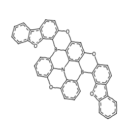 c1cc2c3c(c1)B1c4c(cc5c6c4N3c3c(cccc3B6c3c(ccc4c3oc3ccccc34)O5)O2)Oc2ccc3c(oc4ccccc43)c21